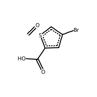 C=O.O=C(O)c1cc(Br)cs1